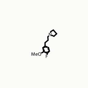 COc1cc(CCCN2CCCC2)ccc1F